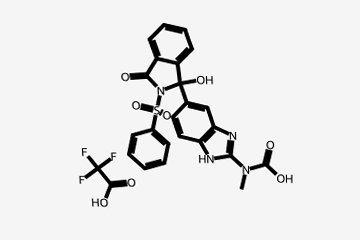 CN(C(=O)O)c1nc2cc(C3(O)c4ccccc4C(=O)N3S(=O)(=O)c3ccccc3)ccc2[nH]1.O=C(O)C(F)(F)F